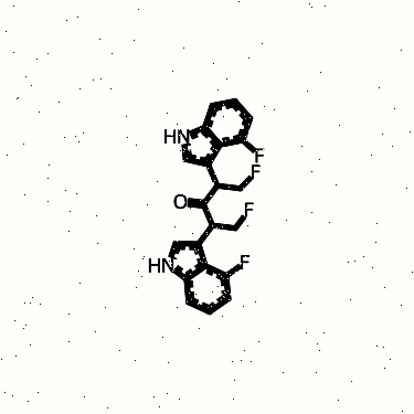 O=C(C(CF)c1c[nH]c2cccc(F)c12)C(CF)c1c[nH]c2cccc(F)c12